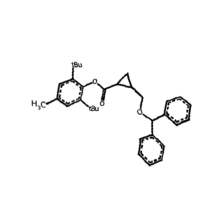 Cc1cc(C(C)(C)C)c(OC(=O)C2CC2COC(c2ccccc2)c2ccccc2)c(C(C)(C)C)c1